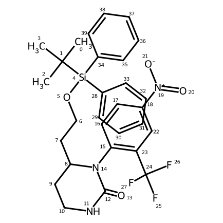 CC(C)(C)[Si](OCCC1CCNC(=O)N1c1ccc([N+](=O)[O-])cc1C(F)(F)F)(c1ccccc1)c1ccccc1